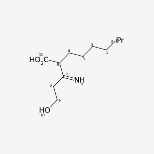 CC(C)CCCCC(C(=N)CCO)C(=O)O